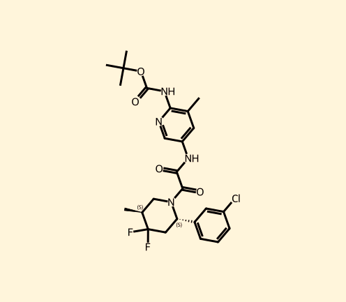 Cc1cc(NC(=O)C(=O)N2C[C@H](C)C(F)(F)C[C@H]2c2cccc(Cl)c2)cnc1NC(=O)OC(C)(C)C